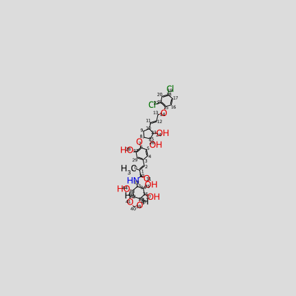 C/C(=C\c1ccc(O[C@@H]2C[C@@H](/C=C/COc3ccc(Cl)cc3Cl)[C@@H](O)[C@@H]2O)c(O)c1)C(=O)N[C@@H]1[C@H](O)[C@@H](O)[C@H]2OCO[C@H]2[C@@H]1O